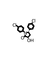 O=C1[C@@H](O)C[C@@H](c2ccc(Cl)cc2)N1c1ccc(Cl)cc1